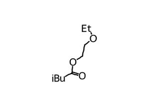 CCOCCOC(=O)C(C)CC